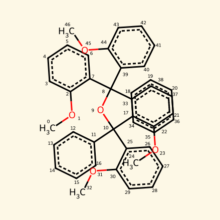 COc1ccccc1C(OC(c1ccccc1)(c1ccccc1OC)c1ccccc1OC)(c1ccccc1)c1ccccc1OC